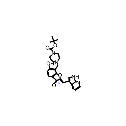 CC(C)(C)OC(=O)N1CCN(Cc2c(O)ccc3c2O/C(=C\c2c[nH]c4ncccc24)C3=O)CC1